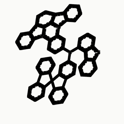 c1ccc2c(c1)-c1ccccc1C21c2ccccc2-c2ccc(N(c3ccc4c(c3)n3c5ccccc5c5ccc6c7ccccc7n4c6c53)c3cccc4sc5ccccc5c34)cc21